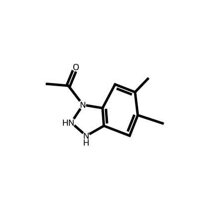 CC(=O)N1NNc2cc(C)c(C)cc21